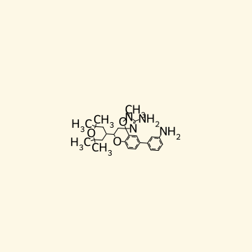 CN1OC2(CC(C3CC(C)(C)OC(C)(C)C3)Oc3ccc(-c4cccc(N)c4)cc32)N=C1N